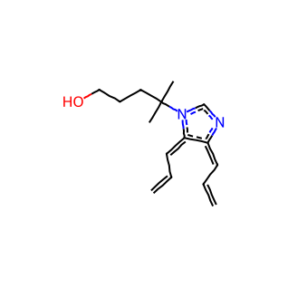 C=C/C=c1/ncn(C(C)(C)CCCO)/c1=C/C=C